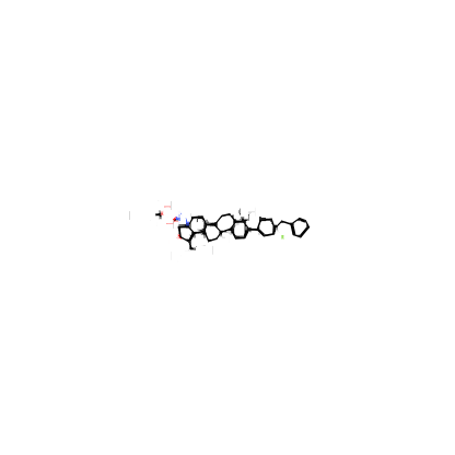 CC(C)C1=C2[C@H]3CC[C@@H]4[C@@]5(C)CC=C(C6=CC[C@](CF)(Cc7ccccc7)CC6)C(C)(C)[C@@H]5CC[C@@]4(C)[C@]3(C)CC[C@@]2(NC(=O)OC(C)(C)C)CC1=O